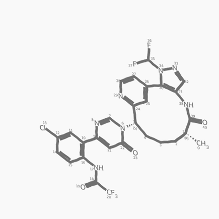 C[C@@H]1CCC[C@H](n2cnc(-c3cc(Cl)ccc3NC(=O)C(F)(F)F)cc2=O)c2cc(ccn2)-c2c(cnn2C(F)F)NC1=O